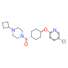 O=C([C@H]1CC[C@H](Oc2ccc(Cl)cn2)CC1)N1CCN(C2CCC2)CC1